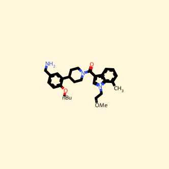 CCCCOc1ccc(CN)cc1C1CCN(C(=O)c2cn(CCOC)c3c(C)cccc23)CC1